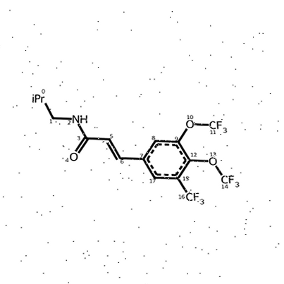 CC(C)CNC(=O)C=Cc1cc(OC(F)(F)F)c(OC(F)(F)F)c(C(F)(F)F)c1